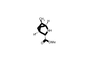 COC(=O)[C@H]1N[C@H]2C[C@@H]1C[C@H]2C